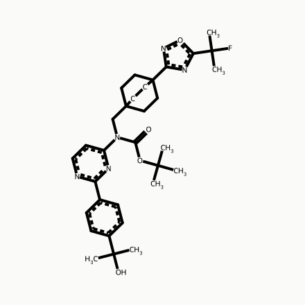 CC(C)(C)OC(=O)N(CC12CCC(c3noc(C(C)(C)F)n3)(CC1)CC2)c1ccnc(-c2ccc(C(C)(C)O)cc2)n1